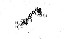 COC(=O)N[C@H](C(=O)N1CCCC1c1ncc(-c2ccc3cc(-c4ccc(-c5cnc(C6CCCN6C(=O)OC(C)(C)C)[nH]5)cc4)ccc3c2)[nH]1)C(C)C